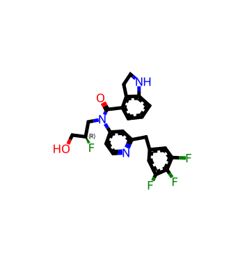 O=C(c1cccc2c1CCN2)N(C[C@@H](F)CO)c1ccnc(Cc2cc(F)c(F)c(F)c2)c1